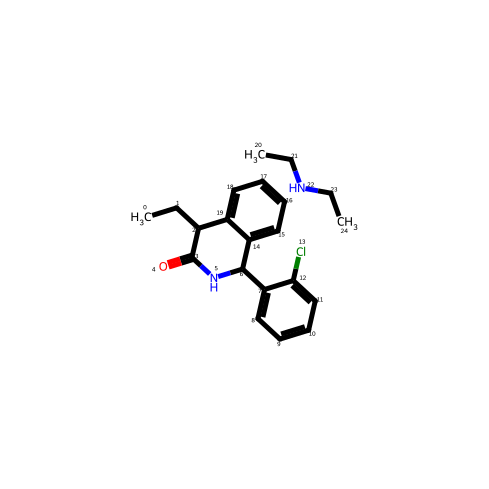 CCC1C(=O)NC(c2ccccc2Cl)c2ccccc21.CCNCC